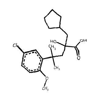 COc1ccc(Cl)cc1C(C)(C)CC(O)(CC1CCCC1)C(=O)O